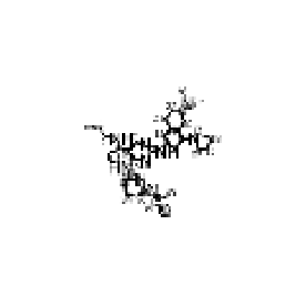 C=CCNC(=O)c1cnc(Nc2cc3c(c(N4CCCC4)c2)CC(N(C)C)CC3)nc1Nc1cccc(N=S(C)(C)=O)n1